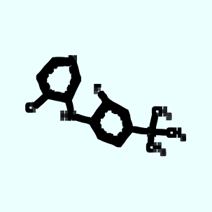 C[Si](C)(C)c1ccc(Nc2cnccc2Cl)c(F)c1